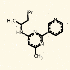 Cc1cc(NC(C)CC(C)C)nc(-c2cccnc2)n1